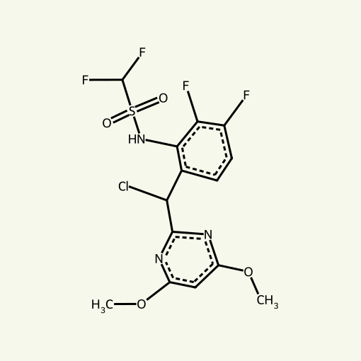 COc1cc(OC)nc(C(Cl)c2ccc(F)c(F)c2NS(=O)(=O)C(F)F)n1